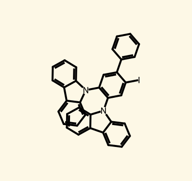 Ic1cc(-n2c3ccccc3c3ccccc32)c(-n2c3ccccc3c3ccccc32)cc1-c1ccccc1